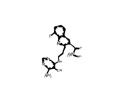 CC(C)NC(=O)c1cc2cccc(F)c2nc1CCNc1ncnc(N)c1C#N